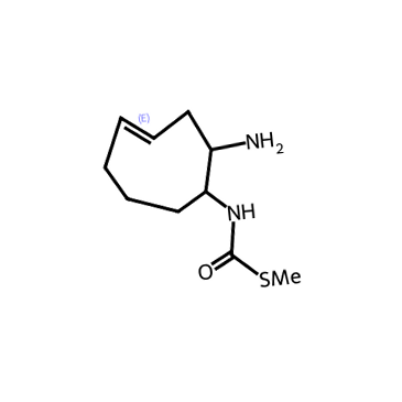 CSC(=O)NC1CCC/C=C/CC1N